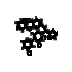 N#Cc1ccc(CC(c2cnc[nH]2)N2CCN(c3cccc(Cl)c3)C(=O)C2)cc1Oc1cccnc1